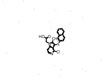 Cc1c(Sc2ccc3ccccc3c2)c2c(Cl)nccc2n1CC(=O)O